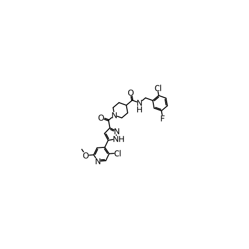 COc1cc(-c2cc(C(=O)N3CCC(C(=O)NCc4cc(F)ccc4Cl)CC3)n[nH]2)c(Cl)cn1